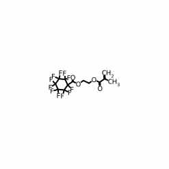 C=C(C)C(=O)OCCOC(=O)C1(F)C(F)(F)C(F)(F)C(F)(F)C(F)(F)C1(F)F